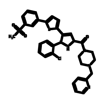 CS(=O)(=O)c1cccc(-c2ccc(C3=CC(C(=O)N4CCN(Cc5ccccn5)CC4)NN3c3ccccc3Cl)s2)c1